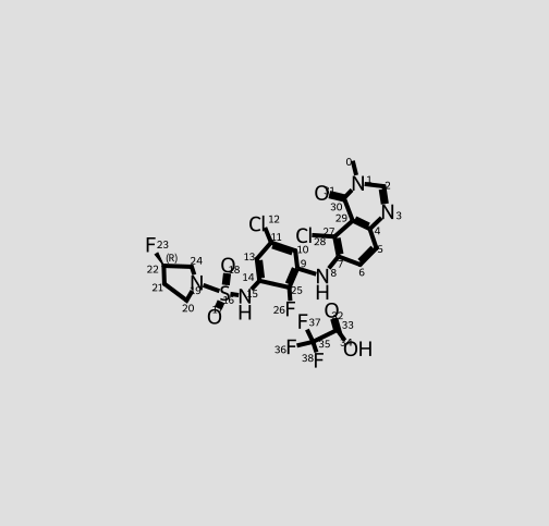 Cn1cnc2ccc(Nc3cc(Cl)cc(NS(=O)(=O)N4CC[C@@H](F)C4)c3F)c(Cl)c2c1=O.O=C(O)C(F)(F)F